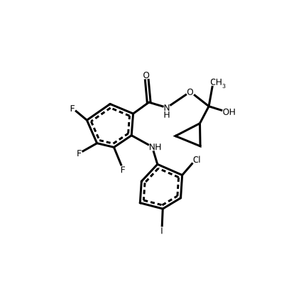 CC(O)(ONC(=O)c1cc(F)c(F)c(F)c1Nc1ccc(I)cc1Cl)C1CC1